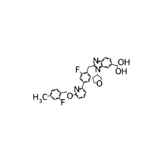 Cc1ccc(COc2cccc(-c3ccc(Cc4nc5ccc(C(O)O)cc5n4[C@H]4CCOC4)c(F)c3)n2)c(F)c1